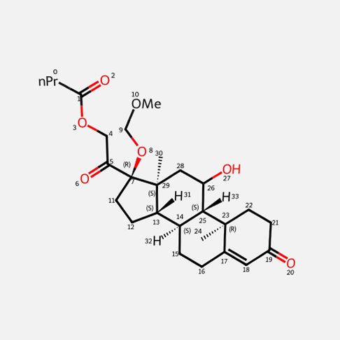 CCCC(=O)OCC(=O)[C@@]1(OCOC)CC[C@H]2[C@@H]3CCC4=CC(=O)CC[C@]4(C)[C@H]3C(O)C[C@@]21C